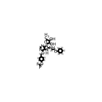 C[C@H]1O[C@@H](N2c3ncnc(OCc4ccc(OC(F)F)cc4)c3NC2NCCOc2ccccc2)[C@H](O)[C@@H]1O